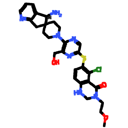 COCCN1CNc2ccc(Sc3cnc(N4CCC5(CC4)Cc4ncccc4[C@H]5N)c(CO)n3)c(Cl)c2C1=O